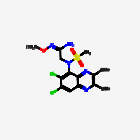 CCOC(=O)O/N=C(/N)CN(c1c(Cl)c(Cl)cc2nc(OC)c(OC)nc12)S(C)(=O)=O